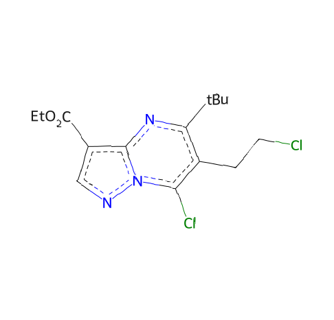 CCOC(=O)c1cnn2c(Cl)c(CCCl)c(C(C)(C)C)nc12